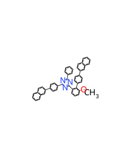 COc1cccc(-c2nc(-c3ccccc3)nc(-c3ccc(-c4ccc5ccccc5c4)cc3)n2)c1-c1ccc(-c2ccc3ccccc3c2)cc1